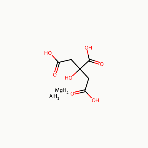 O=C(O)CC(O)(CC(=O)O)C(=O)O.[AlH3].[MgH2]